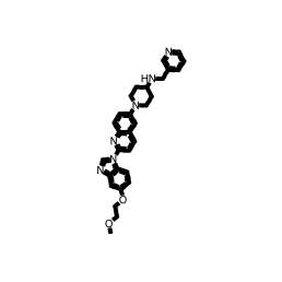 COCCOc1ccc2c(c1)ncn2-c1ccc2cc(N3CCC(NCc4cccnc4)CC3)ccc2n1